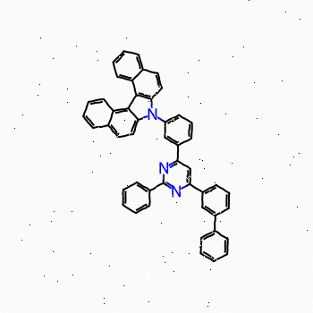 c1ccc(-c2cccc(-c3cc(-c4cccc(-n5c6ccc7ccccc7c6c6c7ccccc7ccc65)c4)nc(-c4ccccc4)n3)c2)cc1